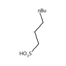 CCCCC[CH]CS(=O)(=O)O